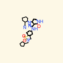 N#CC1CCCCC1n1nc(Nc2ccc3c(c2)CN(CC2CCCC2)S3(=O)=O)c2c(=O)[nH]ccc21